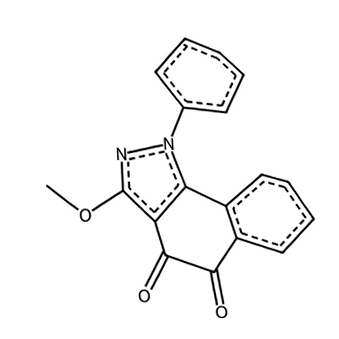 COc1nn(-c2ccccc2)c2c1C(=O)C(=O)c1ccccc1-2